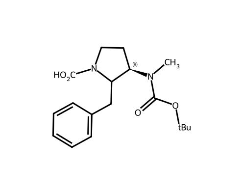 CN(C(=O)OC(C)(C)C)[C@@H]1CCN(C(=O)O)C1Cc1ccccc1